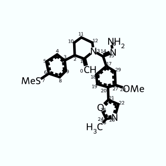 C=C1C(c2ccc(SC)cc2)CCCN1/C(=N\N)c1ccc(-c2cnc(C)o2)c(OC)c1